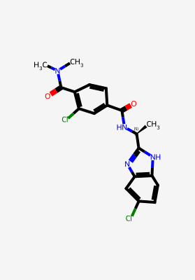 C[C@H](NC(=O)c1ccc(C(=O)N(C)C)c(Cl)c1)c1nc2cc(Cl)ccc2[nH]1